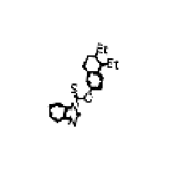 CCC1CCc2cc(OC(=S)n3cnc4ccccc43)ccc2C1CC